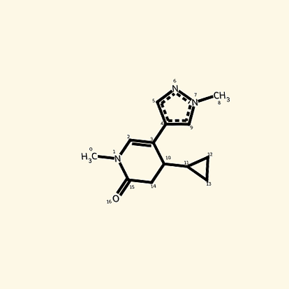 CN1C=C(c2cnn(C)c2)C(C2CC2)CC1=O